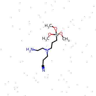 CO[Si](CCCN(CCN)CCC#N)(OC)OC